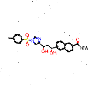 CNC(=O)c1ccc2cc([C@@H](O)CC(O)c3cn(S(=O)(=O)c4ccc(C)cc4)cn3)ccc2c1